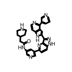 O=C(CC1CCNCC1)Nc1cncc(-c2ccc3[nH]nc(-c4cc5c(-c6cccnc6)nccc5[nH]4)c3n2)c1